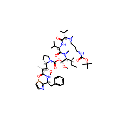 CC[C@H](C)[C@@H]([C@H](OC)OC(=O)N1CCC[C@H]1[C@H](OC)[C@@H](C)C(=O)N[C@@H](Cc1ccccc1)c1nccs1)N(C)C(=O)[C@@H](NC(=O)[C@H](C(C)C)N(C)CCCNC(=O)OC(C)(C)C)C(C)C